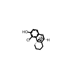 Oc1ccc2c(c1Cl)[C@]13CCCC[C@@H]1[C@H](C2)NCC3